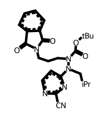 CC(C)CN(c1ccnc(C#N)n1)N(CCCN1C(=O)c2ccccc2C1=O)C(=O)OC(C)(C)C